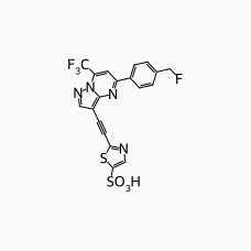 O=S(=O)(O)c1cnc(C#Cc2cnn3c(C(F)(F)F)cc(-c4ccc(CF)cc4)nc23)s1